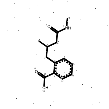 CNC(=O)CC(C)Cc1ccccc1C(=O)O